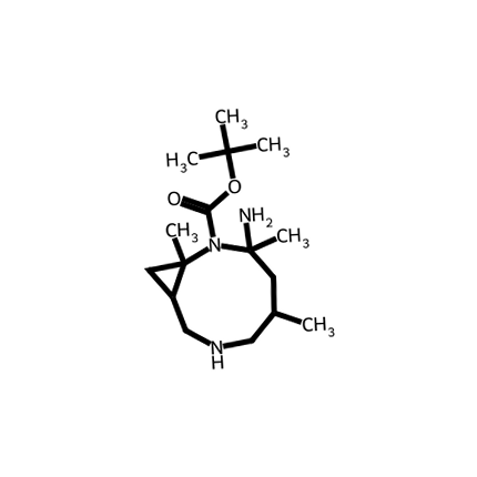 CC1CNCC2CC2(C)N(C(=O)OC(C)(C)C)C(C)(N)C1